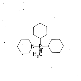 C[PH](C1CCCCC1)(C1CCCCC1)N1CCCCC1